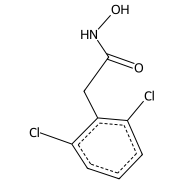 O=C(Cc1c(Cl)cccc1Cl)NO